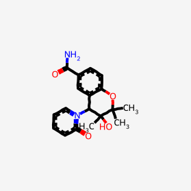 CC1(C)Oc2ccc(C(N)=O)cc2C(n2ccccc2=O)C1(C)O